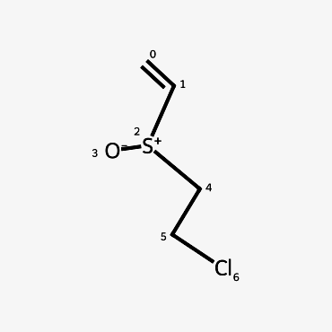 C=C[S+]([O-])CCCl